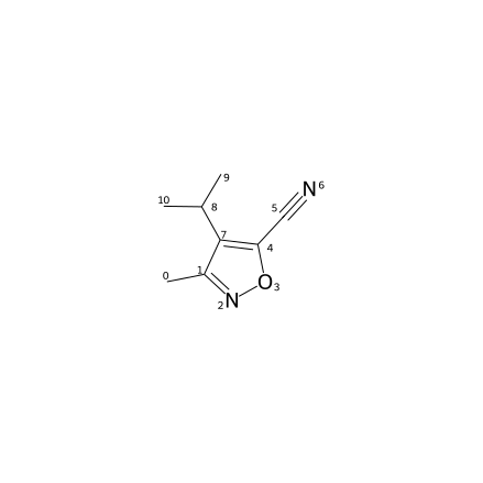 Cc1noc(C#N)c1C(C)C